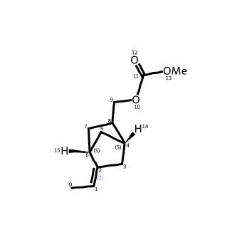 C/C=C1/C[C@@H]2C[C@H]1CC2COC(=O)OC